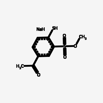 COS(=O)(=O)c1cc(C(C)=O)ccc1S.[NaH]